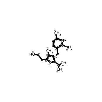 Cc1ccc(C[n+]2c(C(C)O)sc(CCO)c2C)c(N)n1